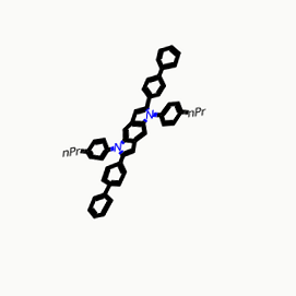 CCCc1ccc(-n2c(-c3ccc(-c4ccccc4)cc3)cc3cc4c(cc(-c5ccc(-c6ccccc6)cc5)n4-c4ccc(CCC)cc4)cc32)cc1